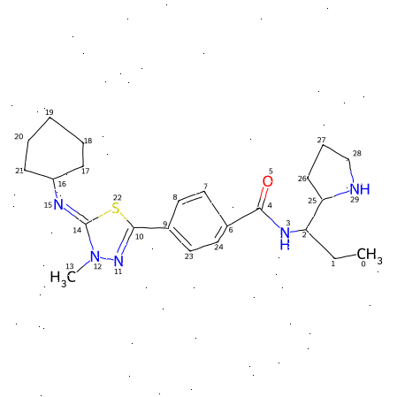 CCC(NC(=O)c1ccc(-c2nn(C)c(=NC3CCCCC3)s2)cc1)C1CCCN1